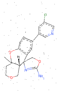 CC12CCOC[C@H]1C1(COC(N)=N1)c1cc(-c3cncc(Cl)c3)ccc1O2